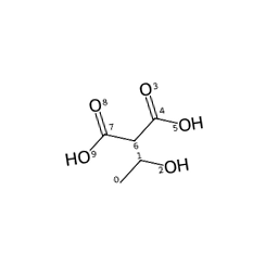 CCO.O=C(O)CC(=O)O